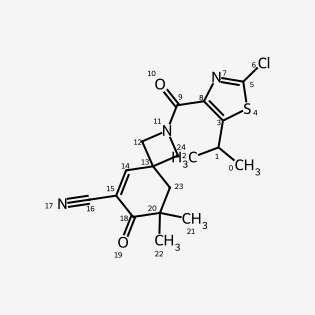 CC(C)c1sc(Cl)nc1C(=O)N1CC2(C=C(C#N)C(=O)C(C)(C)C2)C1